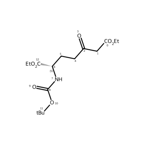 CCOC(=O)CC(=O)CC[C@H](NC(=O)OC(C)(C)C)C(=O)OCC